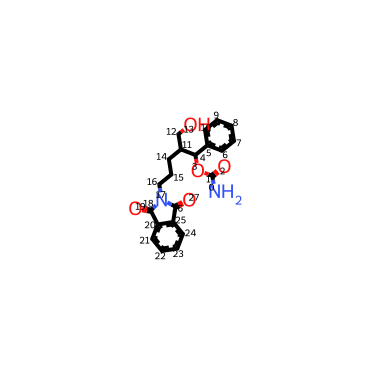 NC(=O)OC(c1ccccc1)C(CO)CCCN1C(=O)c2ccccc2C1=O